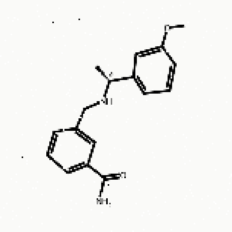 COc1cccc([C@H](C)NCc2cccc(C(N)=O)c2)c1